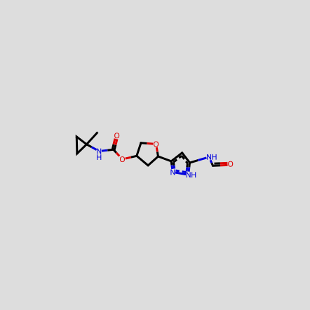 CC1(NC(=O)OC2COC(c3cc(NC=O)[nH]n3)C2)CC1